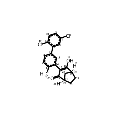 Cc1ccc(-c2cc(Cl)ccc2Cl)cc1C1=C(O)[C@H]2CC[C@H](C2)C1=O